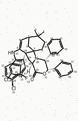 CC1(C)CCC23CC1C=C1Nc4cc(Cl)ncc4[C@]12[C@@H](c1cccc(Cl)c1F)[C@@H]1C(=O)O[C@@H](c2ccccc2)[C@@H](c2ccccc2)N13